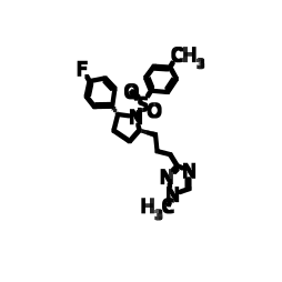 Cc1ccc(S(=O)(=O)N2[C@@H](CCCc3ncn(C)n3)CC[C@@H]2c2ccc(F)cc2)cc1